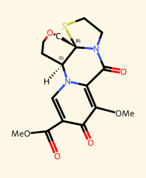 COC(=O)c1cn2c(c(OC)c1=O)C(=O)N1CCS[C@]13COCC[C@H]23